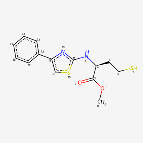 COC(=O)[C@H](CCS)Nc1nc(-c2ccccc2)cs1